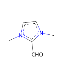 Cn1cc[n+](C)c1C=O